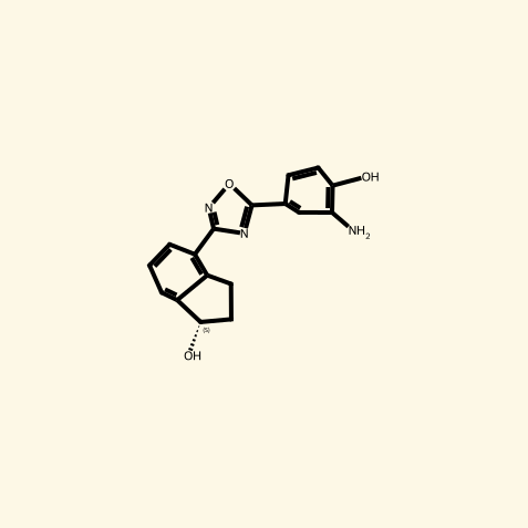 Nc1cc(-c2nc(-c3cccc4c3CC[C@@H]4O)no2)ccc1O